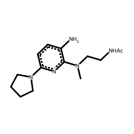 CC(=O)NCCN(C)c1nc(N2CCCC2)ccc1N